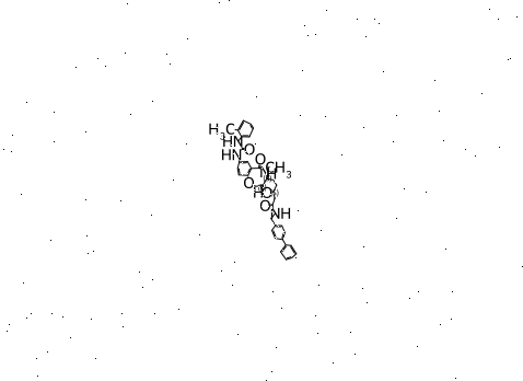 Cc1ccccc1NC(=O)Nc1ccc2c(c1)C(=O)N(C)[C@H]1CC[C@@H](CC(=O)NCc3ccc(-c4ccccc4)cc3)O[C@H]1CO2